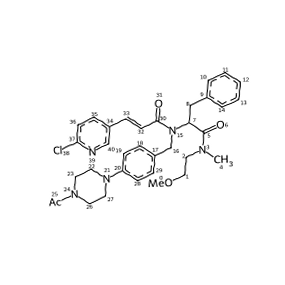 COCCN(C)C(=O)C(Cc1ccccc1)N(Cc1ccc(N2CCN(C(C)=O)CC2)cc1)C(=O)C=Cc1ccc(Cl)nc1